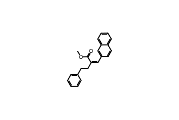 COC(=O)C(=Cc1ccc2ccccc2c1)CCc1ccccc1